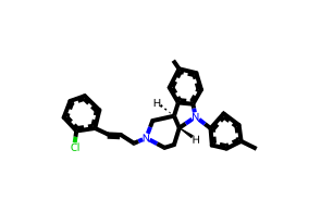 Cc1ccc(N2c3ccc(C)cc3[C@@H]3CN(CC=Cc4ccccc4Cl)CC[C@H]32)cc1